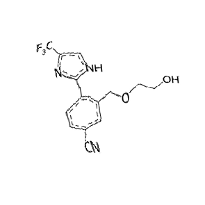 N#Cc1ccc(-c2nc(C(F)(F)F)c[nH]2)c(COCCO)c1